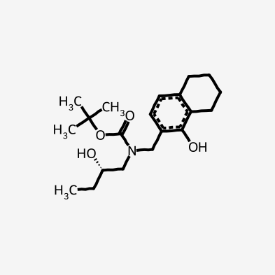 CC[C@H](O)CN(Cc1ccc2c(c1O)CCCC2)C(=O)OC(C)(C)C